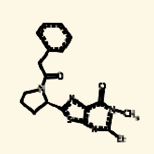 CCc1nc2sc([C@H]3CCCN3C(=O)Cc3ccccc3)nc2c(=O)n1C